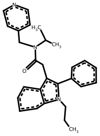 CCCn1c(-c2ccccc2)c(CC(=O)N(Cc2ccncc2)C(C)C)c2ccccc21